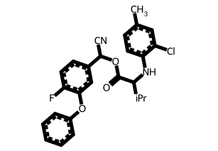 Cc1ccc(NC(C(=O)OC(C#N)c2ccc(F)c(Oc3ccccc3)c2)C(C)C)c(Cl)c1